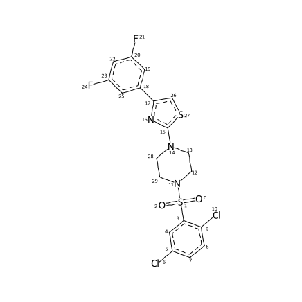 O=S(=O)(c1cc(Cl)ccc1Cl)N1CCN(c2nc(-c3cc(F)cc(F)c3)cs2)CC1